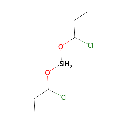 CCC(Cl)O[SiH2]OC(Cl)CC